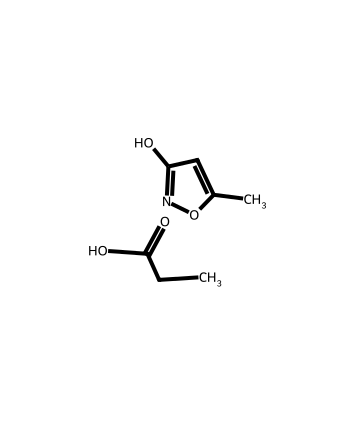 CCC(=O)O.Cc1cc(O)no1